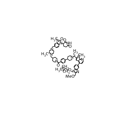 COCc1nc2cc(-c3ccnc4c3cc([C@H](C)N3CCC(c5ccc(C(=O)N6CCC(CN7CCN(Cc8ccc9c(c8)n(C)c(=O)n9C8CCC(=O)NC8=O)C[C@@H]7C)CC6)cc5)CC3)n4C)ccc2n1COCC[Si](C)(C)C